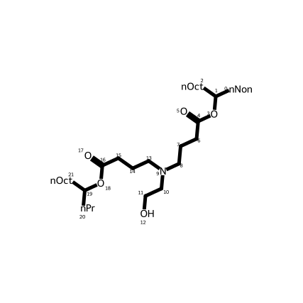 CCCCCCCCCC(CCCCCCCC)OC(=O)CCCN(CCO)CCCC(=O)OC(CCC)CCCCCCCC